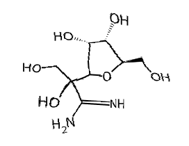 N=C(N)C(O)(CO)C1O[C@H](CO)[C@@H](O)[C@H]1O